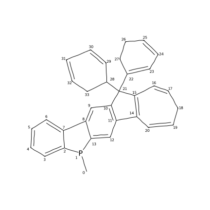 Cp1c2ccccc2c2cc3c(cc21)C1=C(C=CCC=C1)C3(C1=CC=CCC1)C1C=CC=CC1